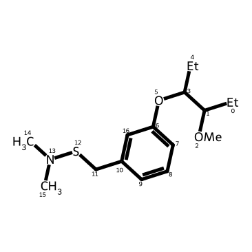 CCC(OC)C(CC)Oc1cccc(CSN(C)C)c1